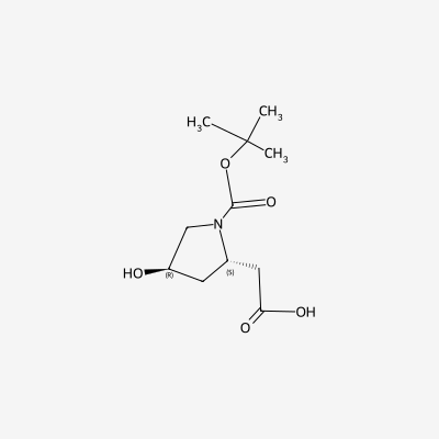 CC(C)(C)OC(=O)N1C[C@H](O)C[C@H]1CC(=O)O